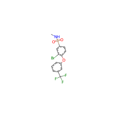 CNS(=O)(=O)c1ccc(Oc2cccc(C(F)(F)F)c2)c(Br)c1